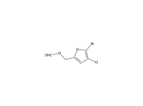 O=COCc1cc(Cl)c(Br)o1